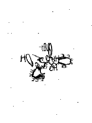 CC(C)(C)OC(=O)N[C@@H](Cc1ccccc1)[C@@H](O)C[C@@H](Cc1ccccc1F)C(=O)O